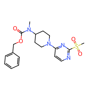 CN(C(=O)OCc1ccccc1)C1CCN(c2ccnc(S(C)(=O)=O)n2)CC1